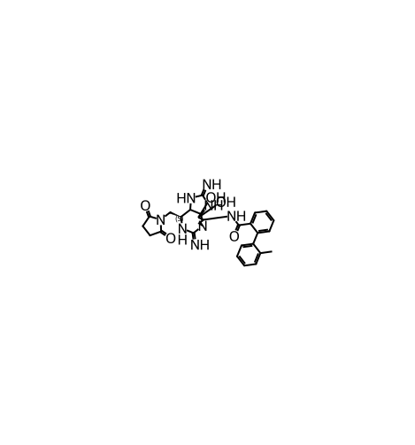 Cc1ccccc1-c1ccccc1C(=O)NC1CN2C(=N)N[C@@H](CN3C(=O)CCC3=O)C3NC(=N)NC32C1(O)O